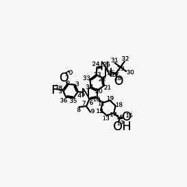 COc1cc(-n2c(C(C)C)c(C3CCC(C(=O)O)CC3)c3cc4c(cnn4C(=O)C(C)(C)C)cc32)ccc1F